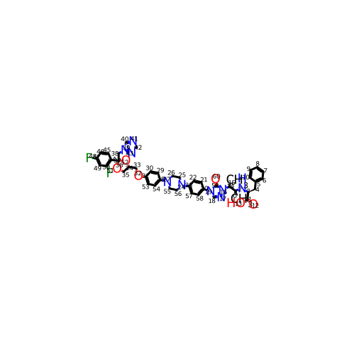 CC(N[C@@H](Cc1ccccc1)C(=O)O)C(C)n1ncn(-c2ccc(N3CCN(c4ccc(OCC5COC(Cn6cncn6)(c6ccc(F)cc6F)O5)cc4)CC3)cc2)c1=O